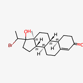 CC(Br)C1(O)CC[C@H]2[C@@H]3CCC4=CC(=O)CC[C@@H]4[C@H]3CC[C@@]21C